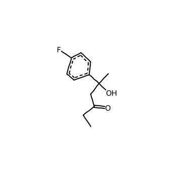 CCC(=O)CC(C)(O)c1ccc(F)cc1